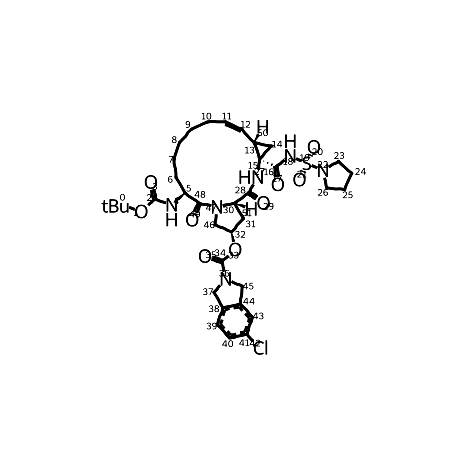 CC(C)(C)OC(=O)N[C@H]1CCCCC/C=C\[C@@H]2C[C@@]2(C(=O)NS(=O)(=O)N2CCCC2)NC(=O)[C@@H]2C[C@@H](OC(=O)N3Cc4ccc(Cl)cc4C3)CN2C1=O